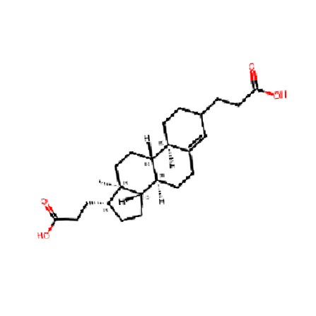 C[C@]12CC[C@H]3[C@@H](CCC4=CC(CCC(=O)O)CC[C@@H]43)[C@@H]1CC[C@@H]2CCC(=O)O